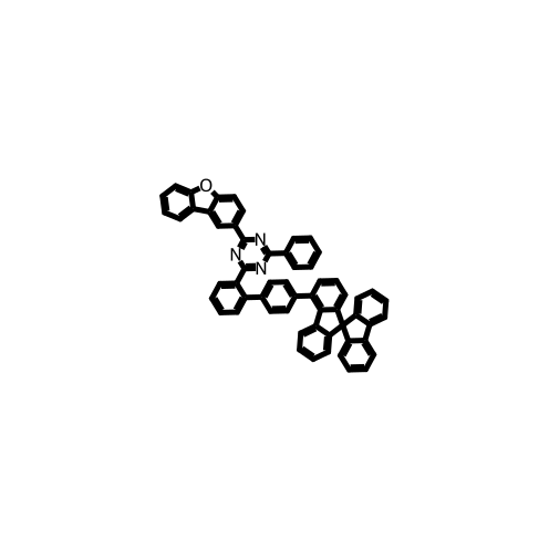 c1ccc(-c2nc(-c3ccc4oc5ccccc5c4c3)nc(-c3ccccc3-c3ccc(-c4cccc5c4-c4ccccc4C54c5ccccc5-c5ccccc54)cc3)n2)cc1